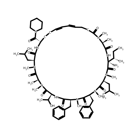 CC[C@H](C)[C@]1(N)NC(=O)[C@H](C)N(C)C(=O)CC/C=C/C=C\CC[C@@H](C(=O)N2CCCCC2)NC(=O)[C@H](CC(C)C)N(C)C(=O)[C@H](C)N(C)C(=O)[C@H](C(C)O)NC(=O)[C@H](Cc2ccccc2)N(C)C(=O)[C@H](Cc2ccccc2)N(C)C(=O)[C@H](CC(C)C)N(C)C1=O